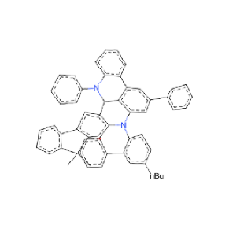 CCCCc1ccc(N2c3cc4c(cc3C3c5c(cc(-c6ccccc6)cc52)-c2ccccc2N3c2ccccc2)-c2ccccc2C4(C)C)c(-c2ccccc2)c1